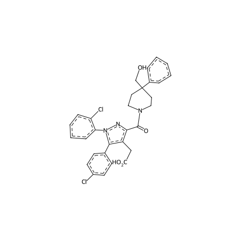 O=C(O)Cc1c(C(=O)N2CCC(CO)(c3ccccc3)CC2)nn(-c2ccccc2Cl)c1-c1ccc(Cl)cc1